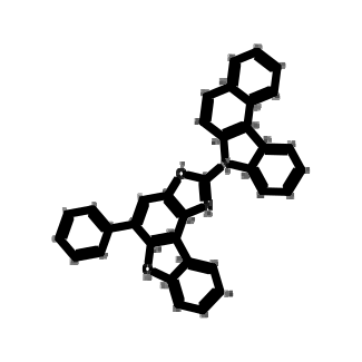 c1ccc(-c2cc3oc(-n4c5ccccc5c5c6ccccc6ccc54)nc3c3c2oc2ccccc23)cc1